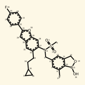 CS(=O)(=O)N(Cc1cc(F)c2c(c1)COB2O)c1cc2oc(-c3ccc(F)cc3)cc2cc1CCC1CC1